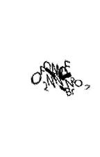 O=[N+]([O-])C(CF)(N(CBr)C(CF)([N+](=O)[O-])[N+](=O)[O-])[N+](=O)[O-]